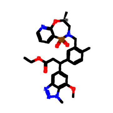 CCOC(=O)CC(c1ccc(C)c(CN2C[C@@H](C)Oc3ncccc3S2(=O)=O)c1)c1cc(OC)c2c(c1)nnn2C